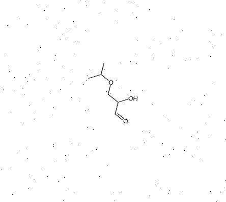 CC(C)OCC(O)C=O